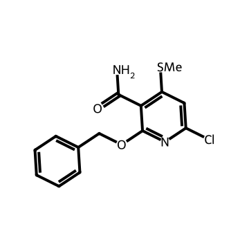 CSc1cc(Cl)nc(OCc2ccccc2)c1C(N)=O